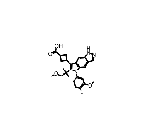 COCC(C)(C)c1c(C2CC(C(=O)O)C2)c2cc3[nH]ncc3cc2n1-c1ccc(F)c(OC)c1